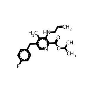 C=CCNc1c(C(=O)OC(C)C)ncc(Cc2ccc(F)cc2)c1C